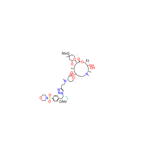 CC[C@H]1OC(=O)[C@H](C)[C@@H](O[C@H]2C[C@@](C)(OC)C[C@H](C)O2)[C@H](C)[C@@H](O[C@H]2C[C@@H](N(C)CCc3cn([C@H](CF)[C@H](OC)c4ccc(S(=O)(=O)N5CCOCC5)cc4)nn3)C[C@@H](C)O2)[C@](C)(O)C[C@@H](C)CN(C)[C@H](C)[C@@H](O)[C@]1(C)O